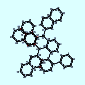 c1ccc(-c2ccccc2-c2cccc(N(c3ccc4ccccc4c3)c3ccc4ccccc4c3)c2N(c2ccc3ccccc3c2)c2ccc3ccccc3c2)cc1